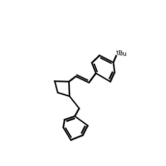 CC(C)(C)c1ccc(C=CC2CCC2Cc2ccccc2)cc1